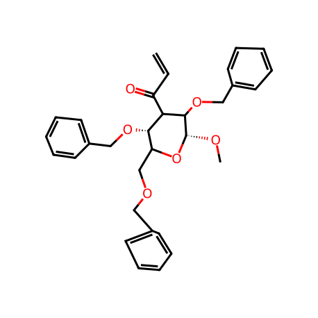 C=CC(=O)C1C(OCc2ccccc2)[C@H](OC)OC(COCc2ccccc2)[C@@H]1OCc1ccccc1